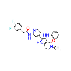 CN1CCc2[nH]c(-c3ccnc(NC(=O)Cc4ccc(F)c(F)c4)c3)c(Nc3ccccc3)c2C1=O